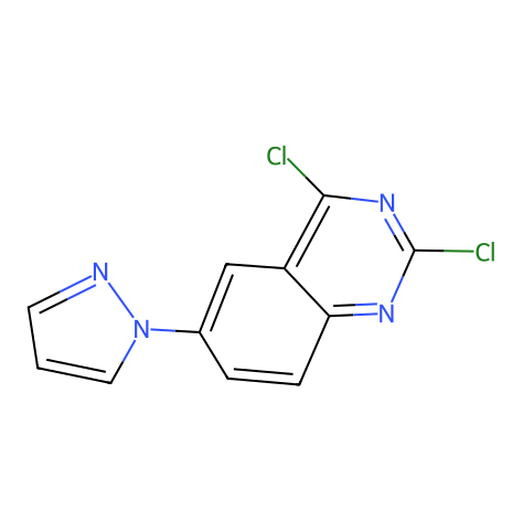 Clc1nc(Cl)c2cc(-n3cccn3)ccc2n1